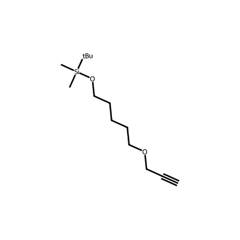 C#CCOCCCCCO[Si](C)(C)C(C)(C)C